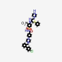 O=C(NS(=O)(=O)c1ccc(NC(CCN2CCNCC2)CSc2ccccc2)c([N+](=O)[O-])c1)c1ccc(N2CCN(Cc3ccccc3-c3ccc(Cl)cc3)CC2)cc1